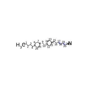 CCCCC[C@H]1CC[C@H](CC[C@H]2CC[C@H](CC/C=C/C=C/C#N)CC2)CC1